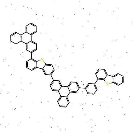 C1=Cc2c(c3cc(-c4cccc5c4sc4ccc(-c6ccc7c8ccccc8c8cc(-c9cccc(-c%10cccc%11c%10sc%10ccccc%10%11)c9)ccc8c7c6)cc45)ccc3c3ccccc23)CC1